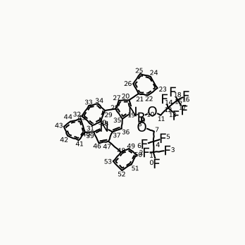 FC(F)(F)C(F)(F)COB(OCC(F)(F)C(F)(F)F)n1c(-c2ccccc2)cc(-c2ccccc2)c1/C=C1\N=C(c2ccccc2)C=C1c1ccccc1